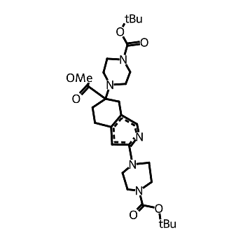 COC(=O)C1(N2CCN(C(=O)OC(C)(C)C)CC2)CCc2cc(N3CCN(C(=O)OC(C)(C)C)CC3)ncc2C1